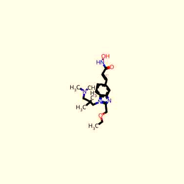 CCOCc1nc2cc(/C=C/C(=O)NO)ccc2n1CC(C)(C)CN(C)C